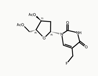 CC(=O)OC[C@H]1O[C@@H](n2cc(CF)c(=O)[nH]c2=O)C[C@@H]1OC(C)=O